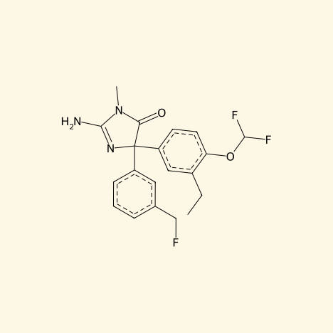 CCc1cc(C2(c3cccc(CF)c3)N=C(N)N(C)C2=O)ccc1OC(F)F